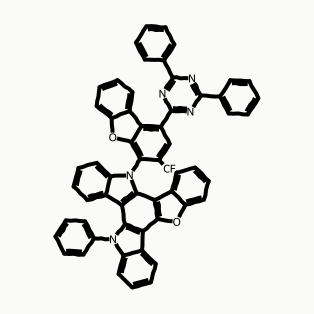 FC(F)(F)c1cc(-c2nc(-c3ccccc3)nc(-c3ccccc3)n2)c2c(oc3ccccc32)c1-n1c2ccccc2c2c3c(c4ccccc4n3-c3ccccc3)c3oc4ccccc4c3c21